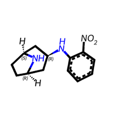 O=[N+]([O-])c1ccccc1N[C@H]1C[C@H]2CC[C@@H](C1)N2